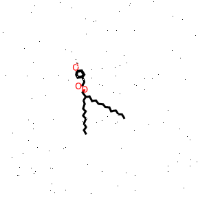 CCCCCCCCCCCCC(CCCCCCCCCC)COC(=O)Cc1ccc(OC)cc1